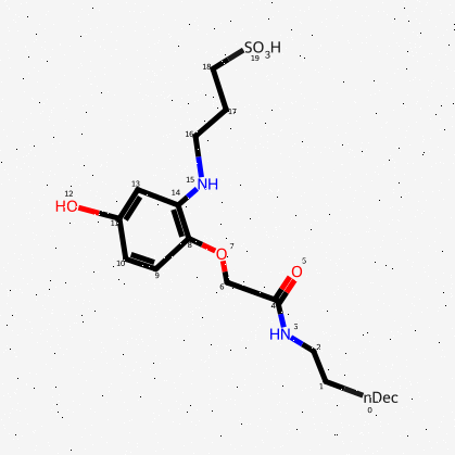 CCCCCCCCCCCCNC(=O)COc1ccc(O)cc1NCCCS(=O)(=O)O